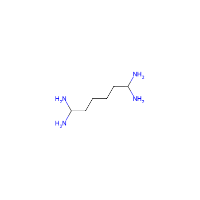 NC(N)CCCCC(N)N